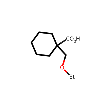 CCOCC1(C(=O)O)CCCCC1